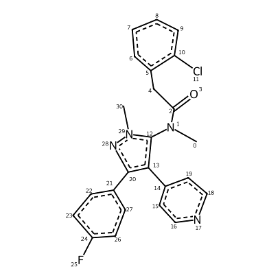 CN(C(=O)Cc1ccccc1Cl)c1c(-c2ccncc2)c(-c2ccc(F)cc2)nn1C